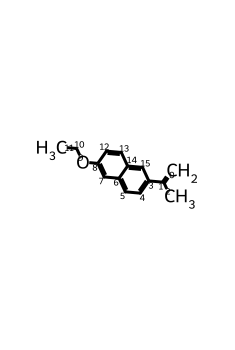 C=C(C)c1ccc2cc(OCC)ccc2c1